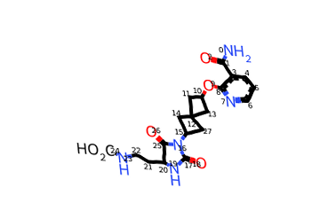 NC(=O)c1cccnc1OC1CC2(C1)CC(N1C(=O)NC(CCNC(=O)O)C1=O)C2